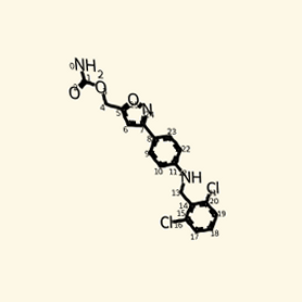 NC(=O)OCc1cc(-c2ccc(NCc3c(Cl)cccc3Cl)cc2)no1